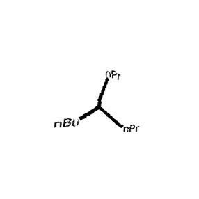 C[CH]CC(CCC)CCCC